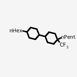 CCCCCCC1CCC(C2CCC(CCCCC)(C(F)(F)F)CC2)CC1